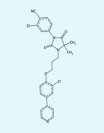 CC1(C)C(=O)N(c2ccc(C#N)c(Cl)c2)C(=S)N1CCCOc1ccc(-c2ccncc2)cc1Cl